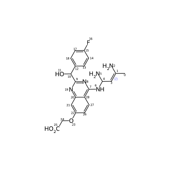 C/C(N)=C/C(N)Nc1nc(C(O)c2ccc(F)cc2)nc2cc(OCC(=O)O)ccc12